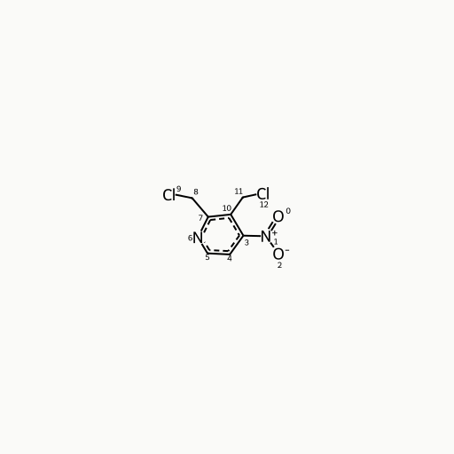 O=[N+]([O-])c1ccnc(CCl)c1CCl